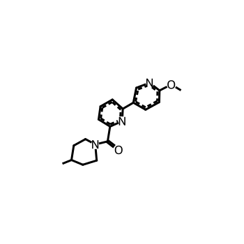 COc1ccc(-c2cccc(C(=O)N3CCC(C)CC3)n2)cn1